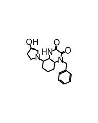 O=C1NC2C(N3CCC(O)C3)CCCC2N(Cc2ccccc2)C1=O